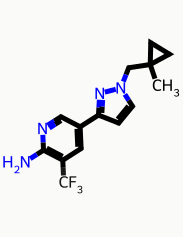 CC1(Cn2ccc(-c3cnc(N)c(C(F)(F)F)c3)n2)CC1